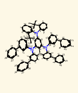 CC(C)(C)c1ccccc1N(c1cc2c3c(c1)N(c1cccc(-c4ccccc4)c1)c1cc(-c4ccccc4)ccc1B3c1ccc(-c3ccccc3)cc1N2c1cccc(-c2ccccc2)c1)c1ccccc1C(C)(C)C